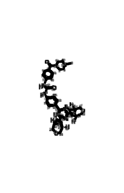 CN1CCN(C(=O)c2ccc(NC(=O)Nc3ccc(-c4nc(N5[C@@H]6COC[C@H]5[C@H](F)C6)nc(N5[C@@H]6COC[C@H]5[C@H](F)C6)n4)cc3)cc2)CC1